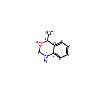 FC(F)(F)C1OCNc2ccccc21